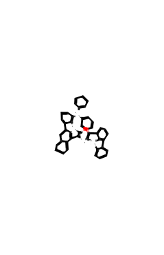 c1ccc(N(c2ccccc2)c2cccc3c4cc5ccccc5c5c6nc7c(nc6n(c23)c45)c2cccc3c4ccccc4n7c32)cc1